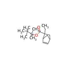 CCC1(C(=O)O[Si](C)(C)C(C)(C)C)CC2C=CC1C2